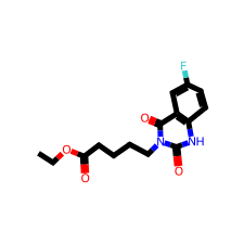 CCOC(=O)CCCCn1c(=O)[nH]c2ccc(F)cc2c1=O